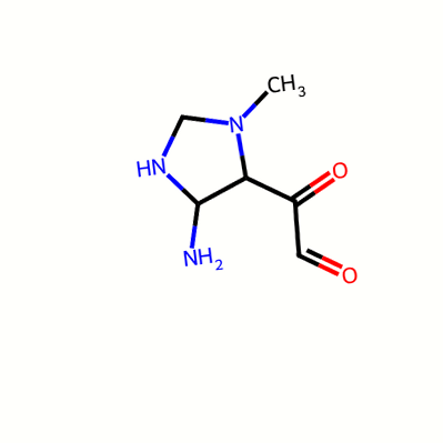 CN1CNC(N)C1C(=O)C=O